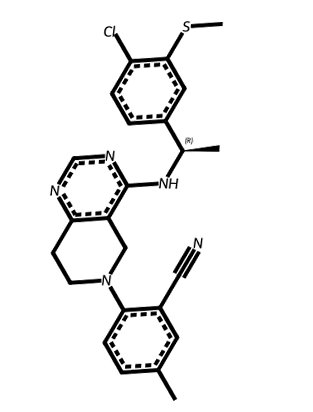 CSc1cc([C@@H](C)Nc2ncnc3c2CN(c2ccc(C)cc2C#N)CC3)ccc1Cl